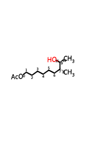 CC(=O)OCCCCCC[C@@H](C)[C@H](C)O